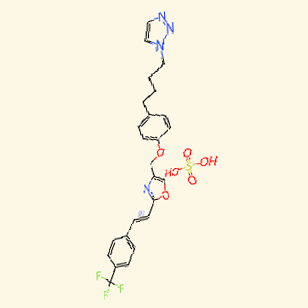 FC(F)(F)c1ccc(/C=C/c2nc(COc3ccc(CCCCn4ccnn4)cc3)co2)cc1.O=S(=O)(O)O